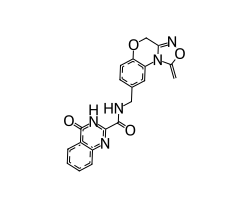 C=C1ON=C2COc3ccc(CNC(=O)c4nc5ccccc5c(=O)[nH]4)cc3N12